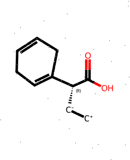 [CH2+][CH-][C@@H](C(=O)O)C1=CCC=CC1